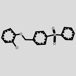 O=S(=O)(c1ccccc1)c1ccc(COc2ccccc2Cl)cc1